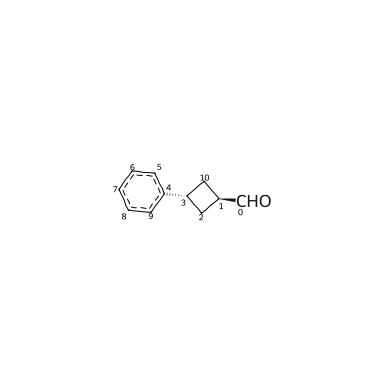 O=C[C@H]1C[C@H](c2ccccc2)C1